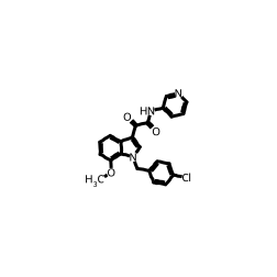 COc1cccc2c(C(=O)C(=O)Nc3cccnc3)cn(Cc3ccc(Cl)cc3)c12